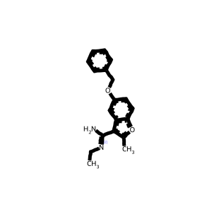 CC/N=C(\N)c1c(C)oc2ccc(OCc3ccccc3)cc12